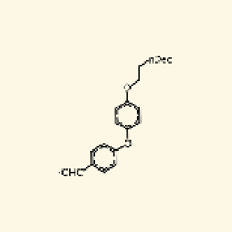 CCCCCCCCCCCCOc1ccc(Oc2ccc([C]=O)cc2)cc1